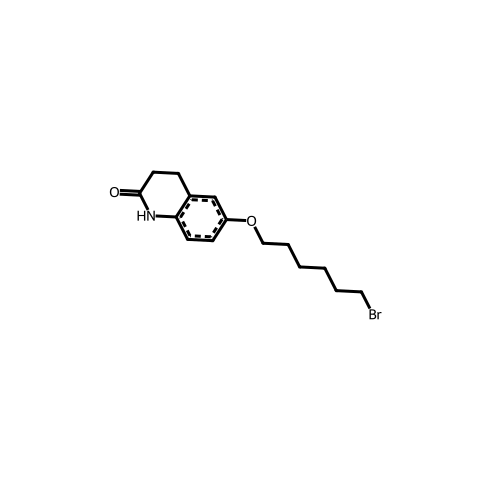 O=C1CCc2cc(OCCCCCCBr)ccc2N1